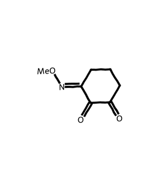 CON=C1CCCC(=O)C1=O